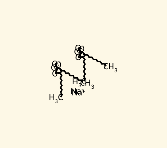 CCCCCCCCCCc1cc(S(=O)(=O)[O-])c2c(c1CCCCCCCCCC)O2.CCCCCCCCCCc1cc(S(=O)(=O)[O-])c2c(c1CCCCCCCCCC)O2.[Na+].[Na+]